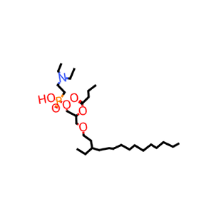 CCCCCCCCCCCCC(CC)CCOCC(COP(=O)(O)CCN(CC)CC)OC(=O)CCC